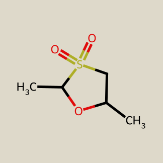 CC1CS(=O)(=O)C(C)O1